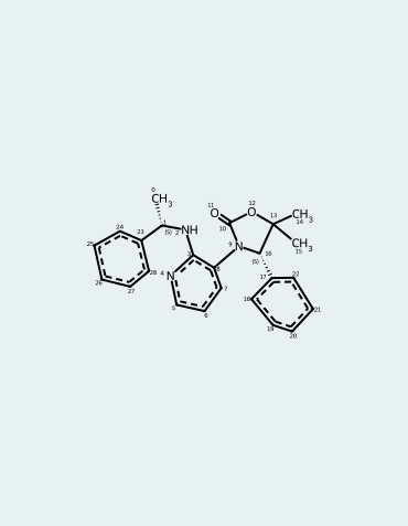 C[C@H](Nc1ncccc1N1C(=O)OC(C)(C)[C@@H]1c1ccccc1)c1ccccc1